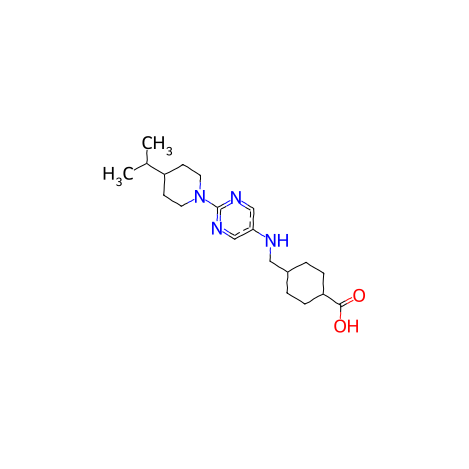 CC(C)C1CCN(c2ncc(NCC3CCC(C(=O)O)CC3)cn2)CC1